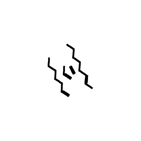 C/C=C/CCCCC.C=C.C=CC.C=CCCCCC